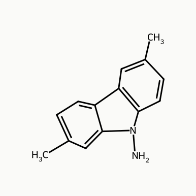 Cc1ccc2c(c1)c1ccc(C)cc1n2N